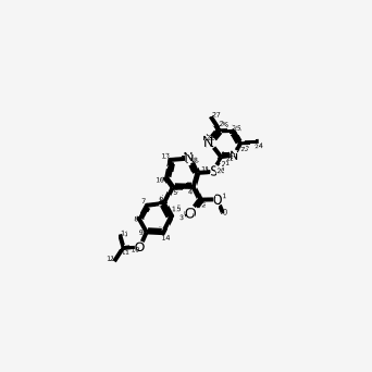 COC(=O)c1c(-c2ccc(OC(C)C)cc2)ccnc1Sc1nc(C)cc(C)n1